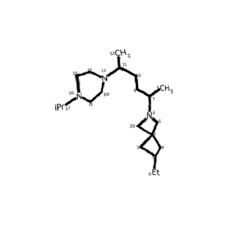 CCC1CC2(C1)CN(C(C)CCC(C)N1CCN(C(C)C)CC1)C2